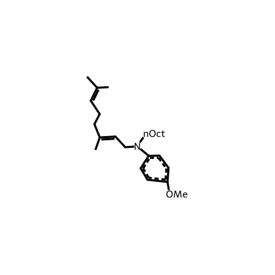 CCCCCCCCN(C/C=C(\C)CCC=C(C)C)c1ccc(OC)cc1